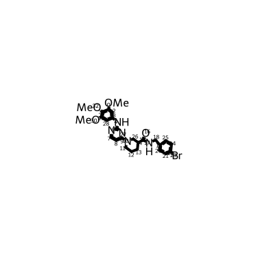 COc1cc(Nc2nccc(N3CCCC(C(=O)NCc4ccc(Br)cc4)C3)n2)cc(OC)c1OC